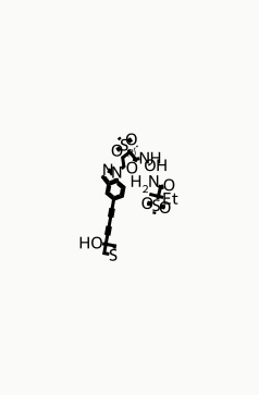 CCC(C)(C(N)=O)S(C)(=O)=O.C[C@@](CCn1ncc2cc(C#CC#CC3(O)CSC3)ccc21)(C(=O)NO)S(C)(=O)=O